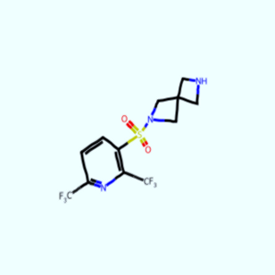 O=S(=O)(c1ccc(C(F)(F)F)nc1C(F)(F)F)N1CC2(CNC2)C1